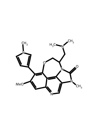 COc1cc2ncc3c4c2c(c1-c1ccn(C)c1)OCC(CN(C)C)n4c(=O)n3C